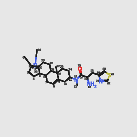 CC1C2CCC3C4CC=C5CC(N(C)C(=O)C(N)Cc6cscn6)CCC5(C)C4CCC32CN1C